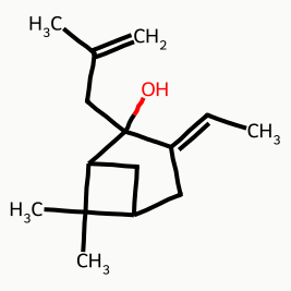 C=C(C)CC1(O)C(=CC)CC2CC1C2(C)C